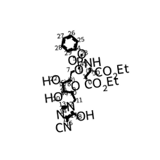 CCOC(=O)C[C@H](NP(=O)(OC[C@H]1OC(Cn2cnc(C#N)c2O)[C@H](O)[C@@H]1O)Oc1ccccc1)C(=O)OCC